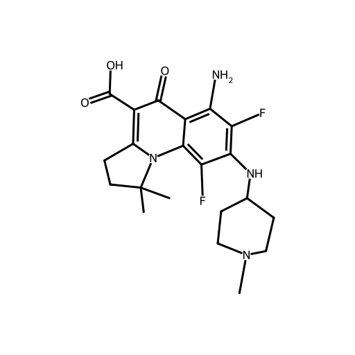 CN1CCC(Nc2c(F)c(N)c3c(=O)c(C(=O)O)c4n(c3c2F)C(C)(C)CC4)CC1